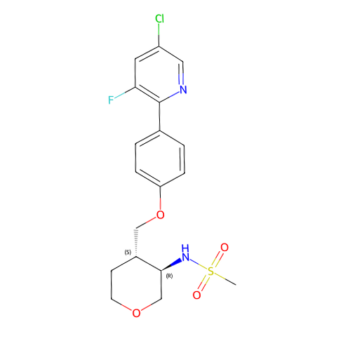 CS(=O)(=O)N[C@H]1COCC[C@@H]1COc1ccc(-c2ncc(Cl)cc2F)cc1